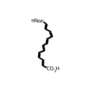 CCCCCCCCC/C=C/C=C\C=C\C=C\C=C/C=C/C(=O)O